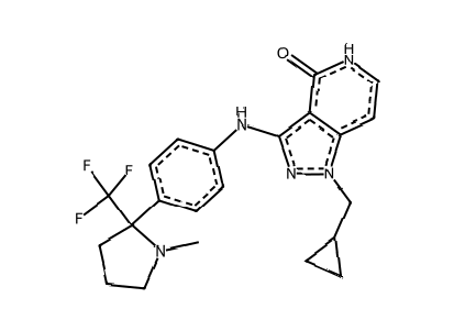 CN1CCCC1(c1ccc(Nc2nn(CC3CC3)c3cc[nH]c(=O)c23)cc1)C(F)(F)F